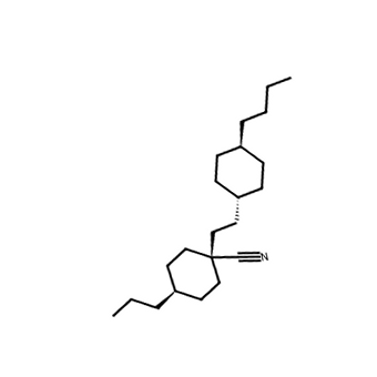 CCCC[C@H]1CC[C@H](CC[C@]2(C#N)CC[C@H](CCC)CC2)CC1